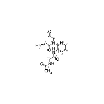 C=CC(=O)N(C[C]=O)c1ncccc1NC(=O)CNC(C)=O